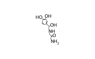 NCC(=O)CNCC(O)c1ccc(O)c(O)c1